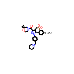 COc1ccc2c(c1)S(=O)(=O)Cc1c(C(=O)N3CCOC4(CC4)C3)nn(-c3ccc(CN4CCCCC4)cc3)c1-2